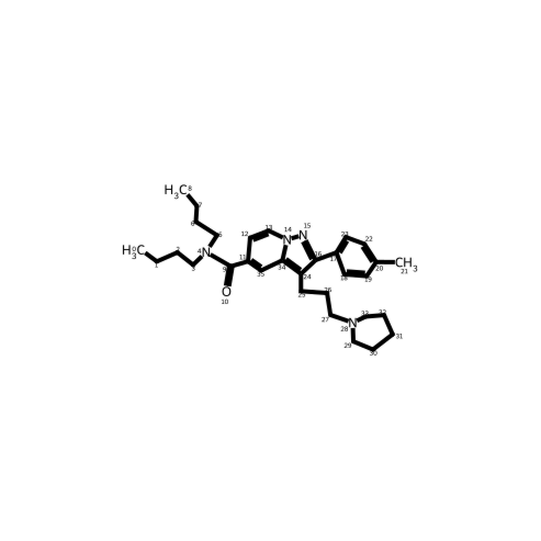 CCCCN(CCCC)C(=O)c1ccn2nc(-c3ccc(C)cc3)c(CCCN3CCCCC3)c2c1